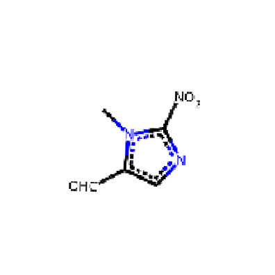 Cn1c(C=O)cnc1[N+](=O)[O-]